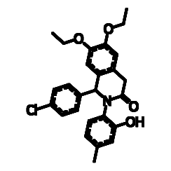 CCOc1cc2c(cc1OCC)C(c1ccc(Cl)cc1)N(c1ccc(C)cc1O)C(=O)C2